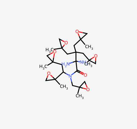 CC1(CC(N(CC2(C)CO2)C(=O)C(N)(N)C(CC2(C)CO2)(CC2(C)CO2)CC2(C)CO2)C2(C)CO2)CO1